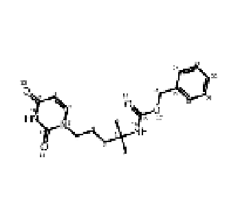 CC(C)(CCCn1ccc(=O)[nH]c1=O)NC(=O)OCc1ccccc1